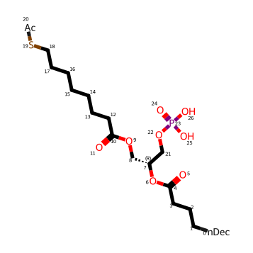 CCCCCCCCCCCCCC(=O)O[C@H](COC(=O)CCCCCCCSC(C)=O)COP(=O)(O)O